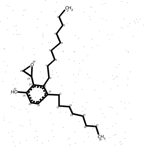 CCCCCCCCCc1c(CCCCCCCC)ccc(O)c1C1CO1